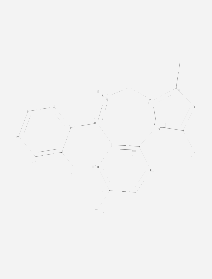 Cc1cc(C)n2c1CN=C(c1ccccc1Cl)c1cc(Cl)ccc1-2